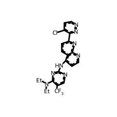 CCN(CC)c1nc(Nc2ccnc3nc(-c4nnccc4Cl)ccc23)ncc1C(F)(F)F